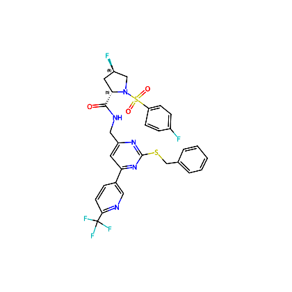 O=C(NCc1cc(-c2ccc(C(F)(F)F)nc2)nc(SCc2ccccc2)n1)[C@@H]1C[C@@H](F)CN1S(=O)(=O)c1ccc(F)cc1